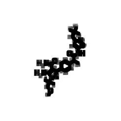 COCC(C)(C)n1nc(-c2ccc(C(C)C(=O)Nc3cc(CC(C)(C)C)no3)cc2)c(C(N)=O)c1N